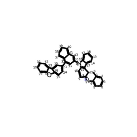 Cc1ccccc1/N=C1/C=Cc2c(c3ccccc3n2-c2cc(-c3ccc4oc5ccccc5c4c3)c3ccccc3c2)C1